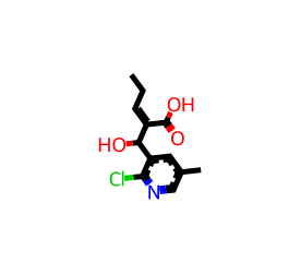 CCC=C(C(=O)O)C(O)c1cc(C)cnc1Cl